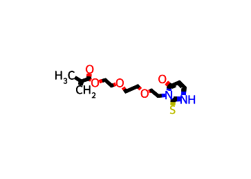 C=C(C)C(=O)OCCOCCOCCn1c(=O)cc[nH]c1=S